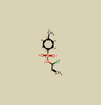 C=CC(Cl)OS(=O)(=O)c1ccc(C)cc1